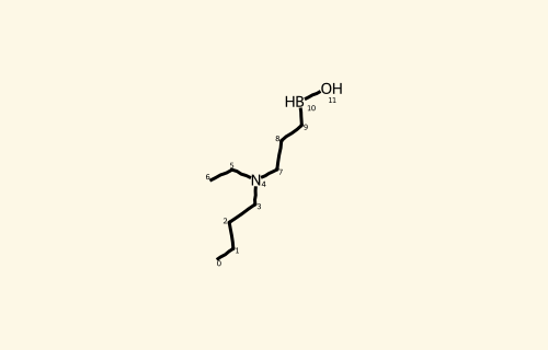 CCCCN(CC)CCCBO